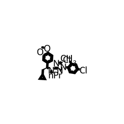 CCCN(c1nc(C)n(-c2ccc(Cl)cc2Cl)n1)[C@@H](CC1CC1)c1ccc2c(c1)OCO2